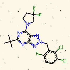 CC(C)(C)c1nc(N2CCC(F)(F)C2)c2nn(Cc3c(F)ccc(Cl)c3Cl)nc2n1